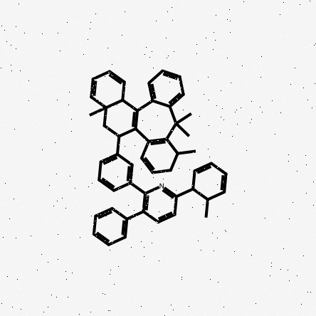 CC1CC=CC2=C1C(C)(C)c1ccccc1C1=C2C(c2cccc(-c3nc(C4C=CC=CC4C)ccc3-c3ccccc3)c2)CC2(C)C=CC=CC12